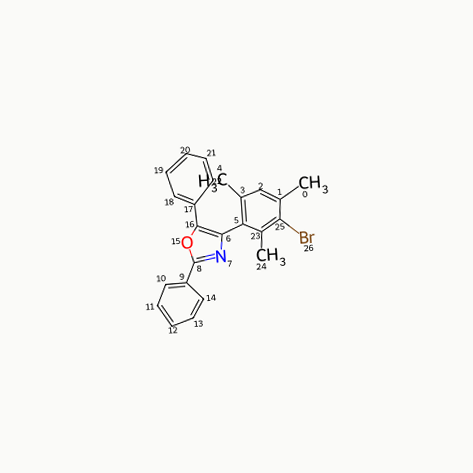 Cc1cc(C)c(-c2nc(-c3ccccc3)oc2-c2ccccc2)c(C)c1Br